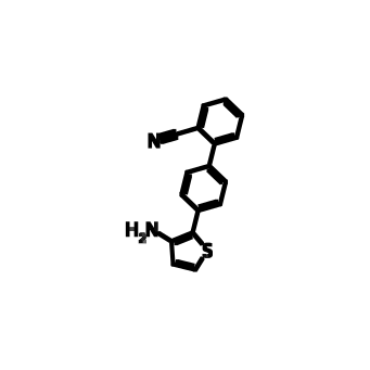 N#Cc1ccccc1-c1ccc(-c2sccc2N)cc1